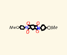 COc1ccc(-n2c(=O)c3cc4c(=O)n(-c5ccc(OC)cc5)c(=O)c4cc3c2=O)cc1